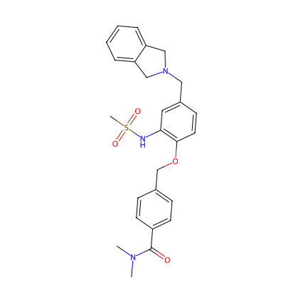 CN(C)C(=O)c1ccc(COc2ccc(CN3Cc4ccccc4C3)cc2NS(C)(=O)=O)cc1